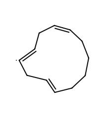 [C]1=C/C/C=C\CCCC/C=C/C/1